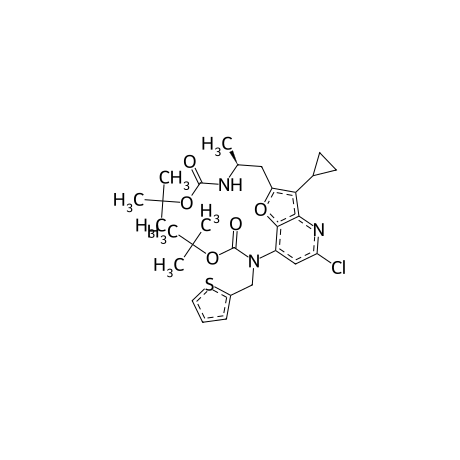 C[C@@H](Cc1oc2c(N(Cc3cccs3)C(=O)OC(C)(C)C)cc(Cl)nc2c1C1CC1)NC(=O)OC(C)(C)C